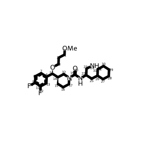 COCCCO[C@@H](c1ccc(F)c(F)c1)[C@@H]1CCCN(C(=O)NC(CN)CC2CCCCC2)C1